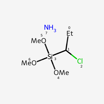 CCC(Cl)[Si](OC)(OC)OC.N